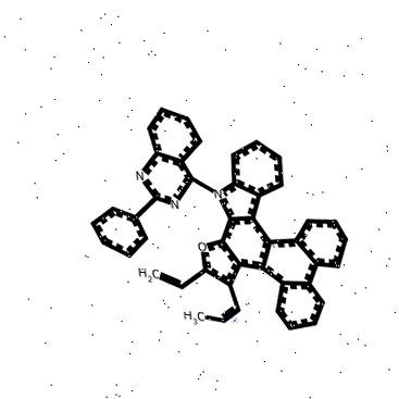 C=Cc1oc2c(c1/C=C\C)c1c3ccccc3c3ccccc3c1c1c3ccccc3n(-c3nc(-c4ccccc4)nc4ccccc34)c21